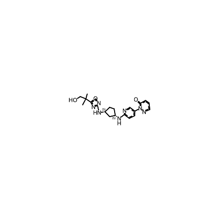 CC(C)(CO)c1nc(N[C@H]2CC[C@H](Nc3ccc(-n4ncccc4=O)cn3)C2)no1